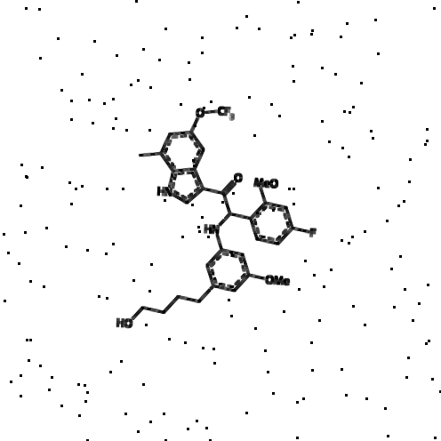 COc1cc(CCCCO)cc(NC(C(=O)c2c[nH]c3c(C)cc(OC(F)(F)F)cc23)c2ccc(F)cc2OC)c1